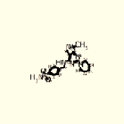 Cn1ncc2c(NCc3ccc(S(N)(=O)=O)cc3)nc(N3CCCCC3)nc21